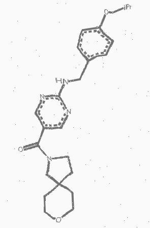 CC(C)Oc1ccc(CNc2ncc(C(=O)N3CCC4(CCOCC4)C3)cn2)cc1